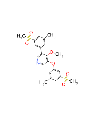 COc1c(Oc2cc(C)cc(S(C)(=O)=O)c2)[c]ncc1-c1cc(C)cc(S(C)(=O)=O)c1